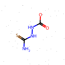 NC(=S)NNC([O])=O